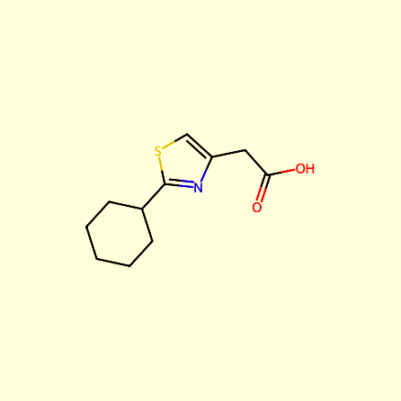 O=C(O)Cc1csc(C2CCCCC2)n1